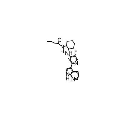 CCCC(=O)NC1CCCCC1Nc1nc(-c2c[nH]c3ncccc23)ncc1F